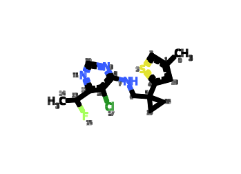 Cc1csc(C2(CNc3ncnc(C(C)F)c3Cl)CC2)c1